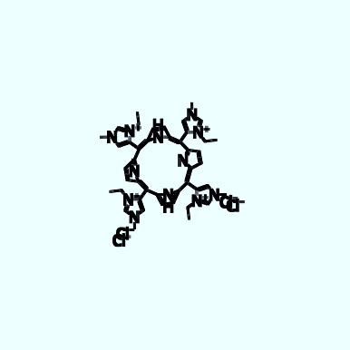 CC[n+]1cn(C)cc1-c1c2nc(c(-c3cn(C)c[n+]3CC)c3ccc([nH]3)c(-c3cn(C)c[n+]3CC)c3nc(c(-c4cn(C)c[n+]4CC)c4ccc1[nH]4)C=C3)C=C2.[Cl-].[Cl-].[Cl-].[Cl-]